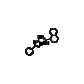 Nc1nc(-c2ccccc2)cn1NCC1CCCc2ccccc21